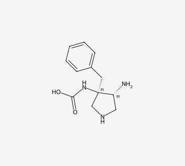 N[C@@H]1CNC[C@@]1(Cc1ccccc1)NC(=O)O